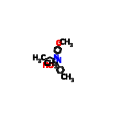 COc1ccc(-n2nc(-c3ccc(C)cc3)c(O)c2CC(C)C)cc1